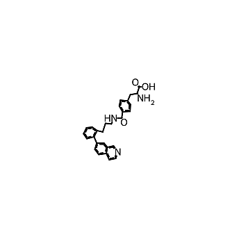 NC(Cc1ccc(C(=O)NCCCc2ccccc2-c2ccc3ccncc3c2)cc1)C(=O)O